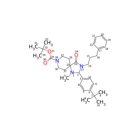 CN1C(c2ccc(C(C)(C)C)cc2)N(CCCc2ccccc2)C(=O)C12CCN(C(=O)OC(C)(C)C)CC2